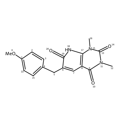 COc1ccc(Cc2cc3c(=O)n(C)c(=O)n(C)c3[nH]c2=O)cc1